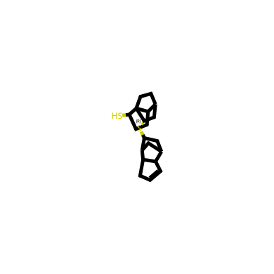 SC1CCC2C3CCC12[C@H](SC1CC2CC1C1CC=CC21)C3